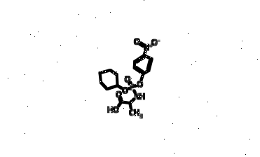 CC(NP(=O)(Oc1ccc([N+](=O)[O-])cc1)OC1CCCCC1)C(=O)O